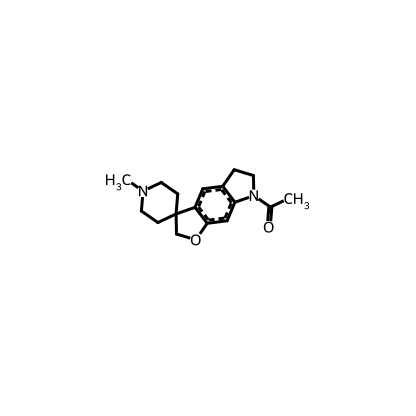 CC(=O)N1CCc2cc3c(cc21)OCC31CCN(C)CC1